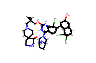 O=C1CNCCC12CCN(CC1(COc3nc(N4CC5CCC(C4)N5)c4ccc(-c5cc(O)cc6ccc(F)c(F)c56)c(F)c4n3)CC1)CC2